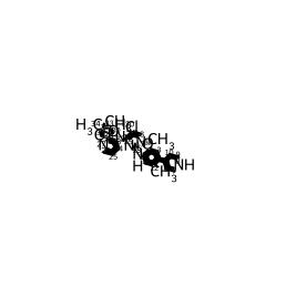 COc1cc(C2=CCNCC2)c(C)cc1Nc1ncc(Cl)c(Nc2cccnc2S(=O)(=O)C(C)C)n1